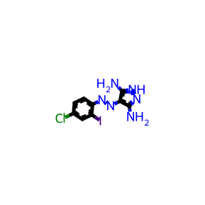 Nc1n[nH]c(N)c1N=Nc1ccc(Cl)cc1I